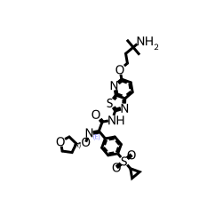 CC(C)(N)CCOc1ccc2nc(NC(=O)/C(=N/O[C@@H]3CCOC3)c3ccc(S(=O)(=O)C4CC4)cc3)sc2n1